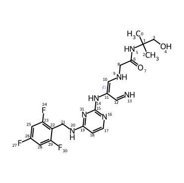 CC(C)(CO)NC(=O)CN/C=C(\C=N)Nc1nccc(NCc2c(F)cc(F)cc2F)n1